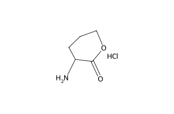 Cl.NC1CCCOC1=O